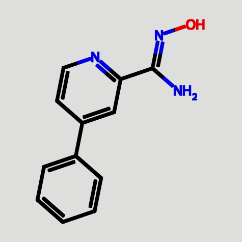 NC(=NO)c1cc(-c2ccccc2)ccn1